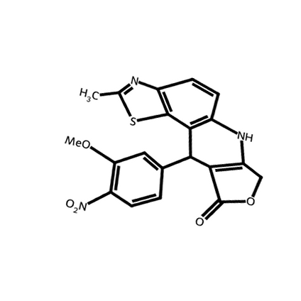 COc1cc(C2C3=C(COC3=O)Nc3ccc4nc(C)sc4c32)ccc1[N+](=O)[O-]